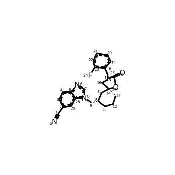 N#Cc1ccc2ncn(C[C@H]3CCC[C@]4(C3)CN(c3ccccc3F)C(=O)O4)c2c1